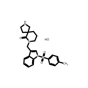 Cc1ccc(S(=O)(=O)n2cc(CN3CCCC4(CCNC4)C3=O)c3ccccc32)cc1.Cl